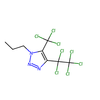 CCCn1nnc(C(Cl)(Cl)C(Cl)(Cl)Cl)c1C(Cl)(Cl)Cl